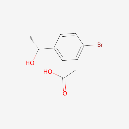 CC(=O)O.C[C@@H](O)c1ccc(Br)cc1